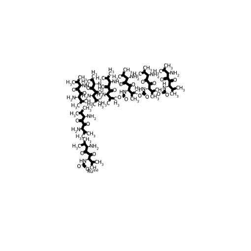 CC(C)[C@H](N)C(=O)C(=O)[C@@H](N)C(C)C.CC(C)[C@H](N)C(=O)C(=O)[C@@H](N)C(C)C.CC(C)[C@H](N)C(=O)C(=O)[C@@H](N)C(C)C.CC(C)[C@H](N)C(=O)C(=O)[C@@H](N)C(C)C.CC(C)[C@H](N)C(=O)C(=O)[C@@H](NC(=O)[O-])C(C)C.CC(C)[C@H](N)C(=O)C(=O)[C@@H](NC(=O)[O-])C(C)C.CC(C)[C@H](N)C(=O)C(=O)[C@@H](NC(=O)[O-])C(C)C.CC(C)[C@H](N)C(=O)C(=O)[C@@H](NC(=O)[O-])C(C)C.[Ru+4]